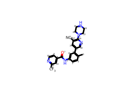 Cc1ccc(NC(=O)c2ccnc(C(F)(F)F)c2)cc1-c1cnc(N2CCNCC2)c(C#N)c1